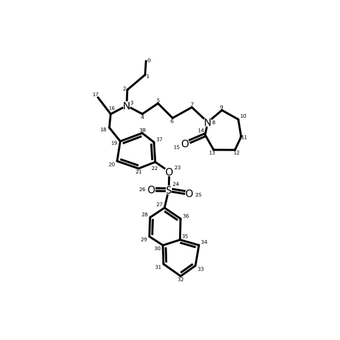 CCCN(CCCCN1CCCCCC1=O)C(C)Cc1ccc(OS(=O)(=O)c2ccc3ccccc3c2)cc1